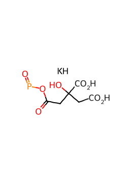 O=POC(=O)CC(O)(CC(=O)O)C(=O)O.[KH]